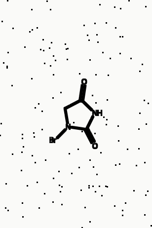 O=C1CN(Br)C(=O)N1